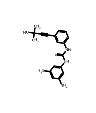 CC(C)(O)C#Cc1cccc(NC(=S)Nc2cc(N)cc(N)c2)c1